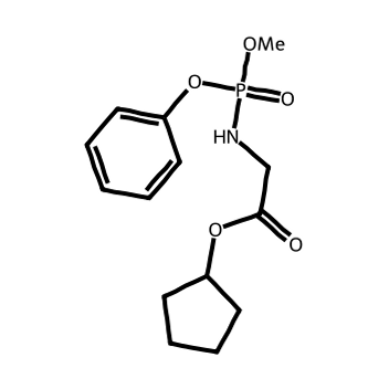 COP(=O)(NCC(=O)OC1CCCC1)Oc1ccccc1